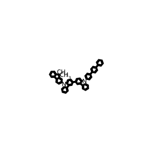 CC1(C)c2ccccc2-c2ccc(-n3c4ccccc4c4cc(-c5ccc6c(c5)c5ccccc5n6-c5ccc(-c6ccc(-c7ccccc7)cc6)cc5)ccc43)cc21